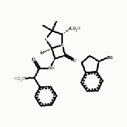 CC1(C)S[C@@H]2[C@H](NC(=O)C(C(=O)O)c3ccccc3)C(=O)N2[C@H]1C(=O)O.[Na][CH]1CCc2ccccc21